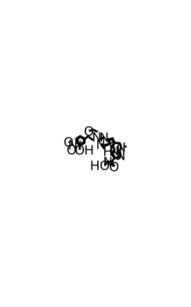 CN(Cc1cc2nc(N3CCOC(c4ccc([N+](=O)[O-])c(O)c4)C3)ncc2s1)c1ncc(C(=O)NO)cn1